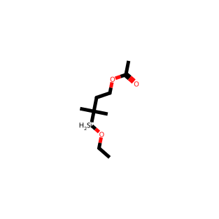 CCO[SiH2]C(C)(C)CCOC(C)=O